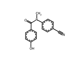 CN(C(=O)c1ccc(O)cc1)c1ccc(C#N)cc1